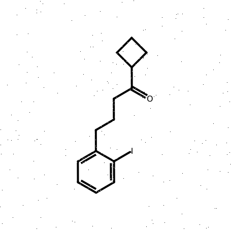 O=C(CCCc1ccccc1I)C1CCC1